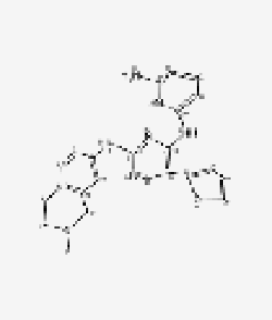 CN1CCc2ccc(Nc3ncc(-c4ccco4)c(Nc4cccc(N)n4)n3)cc2C1